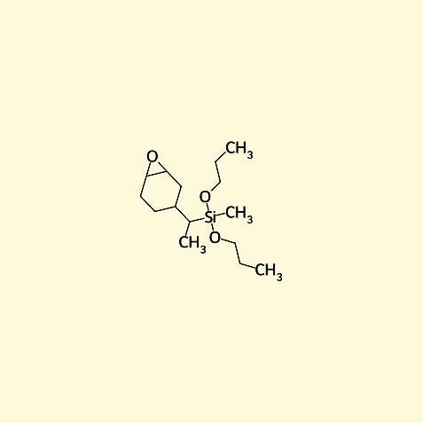 CCCO[Si](C)(OCCC)C(C)C1CCC2OC2C1